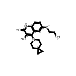 N#Cc1c(N2CCC3(CC2)CC3)c2cc(OCCO)ccc2[nH]c1=O